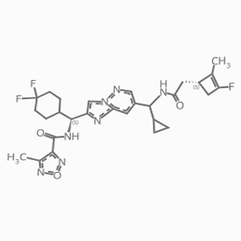 CC1=C(F)C[C@@H]1CC(=O)NC(c1cnn2cc([C@@H](NC(=O)c3nonc3C)C3CCC(F)(F)CC3)nc2c1)C1CC1